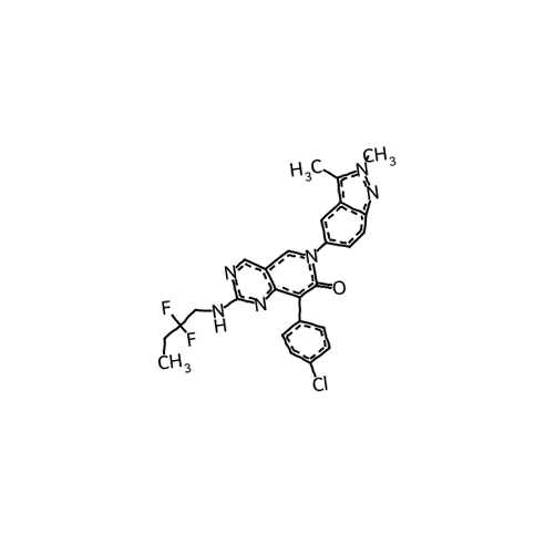 CCC(F)(F)CNc1ncc2cn(-c3ccc4nn(C)c(C)c4c3)c(=O)c(-c3ccc(Cl)cc3)c2n1